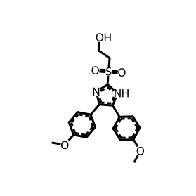 COc1ccc(-c2nc(S(=O)(=O)CCO)[nH]c2-c2ccc(OC)cc2)cc1